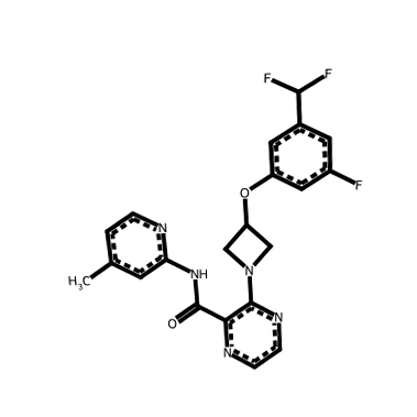 Cc1ccnc(NC(=O)c2nccnc2N2CC(Oc3cc(F)cc(C(F)F)c3)C2)c1